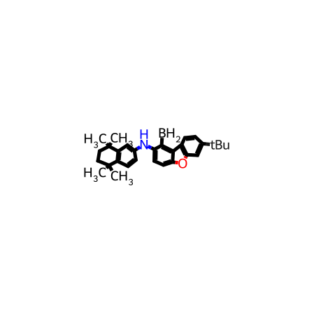 Bc1c(Nc2ccc3c(c2)C(C)(C)CCC3(C)C)ccc2oc3cc(C(C)(C)C)ccc3c12